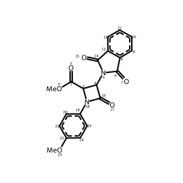 COC(=O)C1C(N2C(=O)c3ccccc3C2=O)C(=O)N1c1ccc(OC)cc1